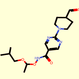 CC(C)COC(C)ONC(=O)c1cnc(N2CCC(C=O)CC2)nc1